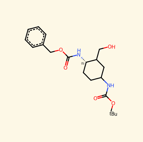 CC(C)(C)OC(=O)NC1CC[C@H](NC(=O)OCc2ccccc2)C(CO)C1